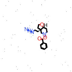 [N-]=[N+]=NCC[C@@]12CCO[C@@H]1CCN(OC(=O)c1ccccc1)C2